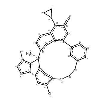 Cn1cnnc1[C@]1(N)c2ccc(Cl)c(c2)OCCc2cccc(c2)-c2cc(=O)n(C3CC3)c3ccc1cc23